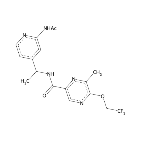 CC(=O)Nc1cc(C(C)NC(=O)c2cnc(OCC(F)(F)F)c(C)n2)ccn1